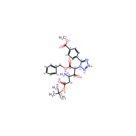 COC(=O)c1ccc(-c2nnnn2C(C(=O)OCc2ccccc2)C(=O)C(N)CC(=O)OC(C)(C)C)cc1